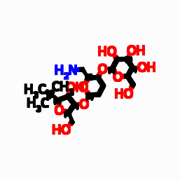 CC(C)(C)[C@@H]1O[C@H](CO)[C@H](O[C@H]2CCC(O[C@H]3OC(CO)[C@@H](O)[C@H](O)C3O)[C@H](CN)O2)C1O